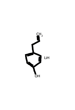 C=CCc1ccc(O)cc1.[LiH]